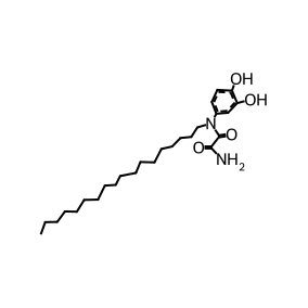 CCCCCCCCCCCCCCCCCCN(C(=O)C(N)=O)c1ccc(O)c(O)c1